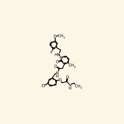 CCNC(=O)COc1ccc(Cl)cc1CNC(=O)Cc1c(C)ccn(NCc2cc(OC)ccc2F)c1=O